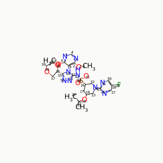 COc1ncnc(OC)c1-n1c(NS(=O)(=O)C2C[C@H](OC(C)C)CN(c3ncc(F)cn3)C2)nnc1[C@@H]1COCCO1